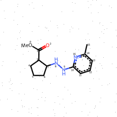 COC(=O)C1CCCC1NNc1cccc(C)n1